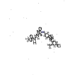 CC(C)(C)OC(=O)NC1CN(C2=NC(=O)/C(=C/c3ccc4c(cnn4Cc4ccc(Cl)cc4C4CC4)c3)S2)C1